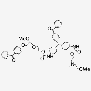 COCCN(C)CCOC(=O)NC1CCC(C(c2ccc(C(=O)c3ccccc3)cc2)C2CCC(NC(=O)OCCOCC(COc3ccc(C(=O)c4ccccc4)cc3)OC)CC2)CC1